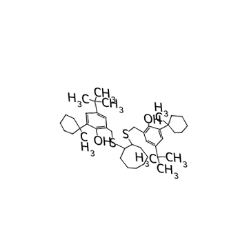 CC(C)(C)c1cc(CSC2CCCCCCC2SCc2cc(C(C)(C)C)cc(C3(C)CCCCC3)c2O)c(O)c(C2(C)CCCCC2)c1